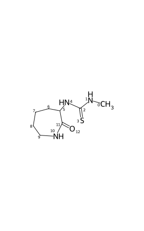 CNC(=S)NC1CCCCNC1=O